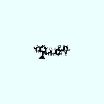 Cc1nc2c(C3CC3)c(NC(=O)Nc3cnc(-c4ccnn4C)c(Cl)c3)cnc2s1